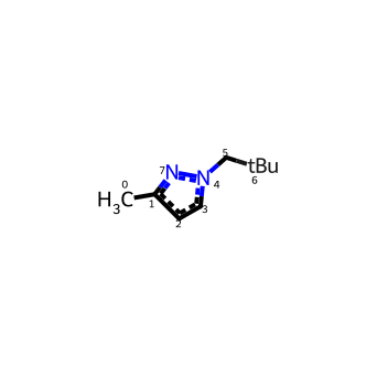 Cc1ccn(CC(C)(C)C)n1